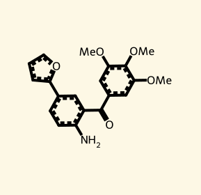 COc1cc(C(=O)c2cc(-c3ccco3)ccc2N)cc(OC)c1OC